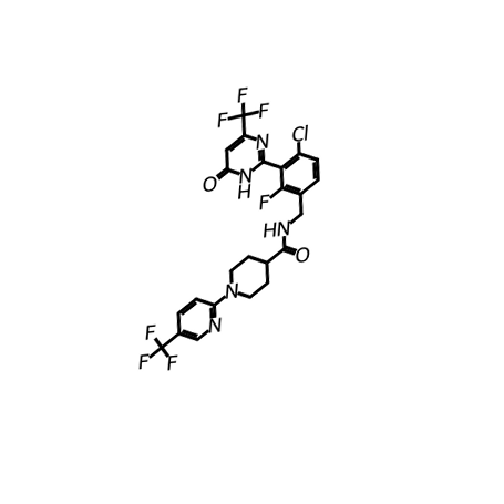 O=C(NCc1ccc(Cl)c(-c2nc(C(F)(F)F)cc(=O)[nH]2)c1F)C1CCN(c2ccc(C(F)(F)F)cn2)CC1